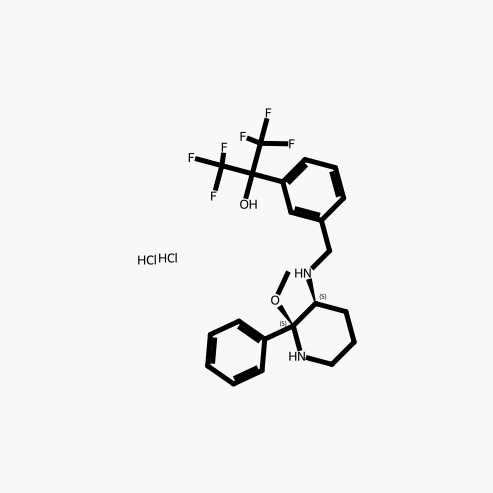 CO[C@]1(c2ccccc2)NCCC[C@@H]1NCc1cccc(C(O)(C(F)(F)F)C(F)(F)F)c1.Cl.Cl